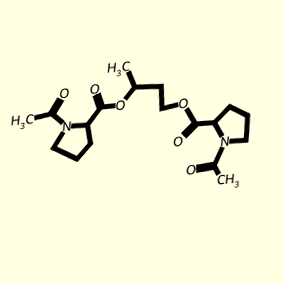 CC(=O)N1CCCC1C(=O)OCCC(C)OC(=O)C1CCCN1C(C)=O